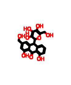 O=C1c2c(O)cccc2C(C2OC(CO)=C(O)C(O)=C2O)c2cc(CO)cc(O)c21